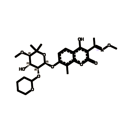 CO/N=C(\C)c1c(O)c2ccc(O[C@@H]3OC(C)(C)[C@H](OC)[C@@H](O)[C@H]3OC3CCCCO3)c(C)c2oc1=O